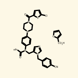 CCCC(=O)N(Cc1cncn1Cc1ccc(C#N)cc1)c1ccc(N2CCN(C(=O)c3ccc(Cl)s3)CC2)cc1.O=C(O)c1ccco1